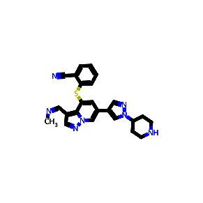 C/N=C\c1cnn2cc(-c3cnn(C4CCNCC4)c3)cc(Sc3ccccc3C#N)c12